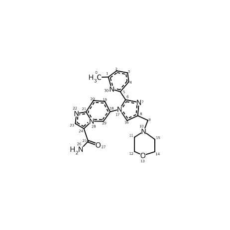 Cc1cccc(-c2nc(CN3CCOCC3)cn2-c2ccc3ncc(C(N)=O)n3c2)n1